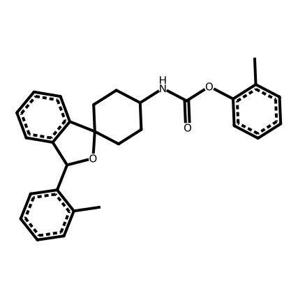 Cc1ccccc1OC(=O)NC1CCC2(CC1)OC(c1ccccc1C)c1ccccc12